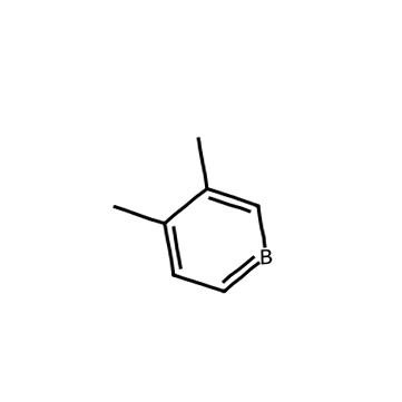 Cc1cbccc1C